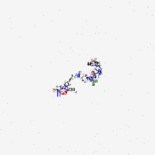 CN(CCCC#Cc1ccc2c(c1)n(C)c(=O)n2C1CCC(=O)NC1=O)C[C@H]1CC[C@H](n2cc(NC(=O)c3cnn4ccc(N5C[C@H]6C[C@@H]5CO6)nc34)c(C(F)F)n2)CC1